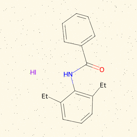 CCc1cccc(CC)c1NC(=O)c1ccccc1.I